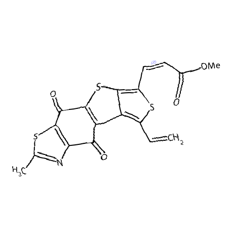 C=Cc1sc(/C=C\C(=O)OC)c2sc3c(c12)C(=O)c1nc(C)sc1C3=O